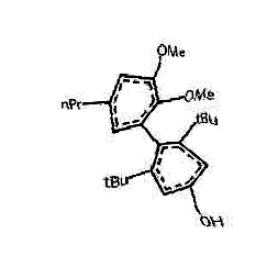 CCCc1cc(OC)c(OC)c(-c2c(C(C)(C)C)cc(O)cc2C(C)(C)C)c1